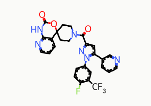 O=C1Nc2ncccc2C2(CCN(C(=O)c3cc(-c4cccnc4)n(-c4ccc(F)c(C(F)(F)F)c4)n3)CC2)O1